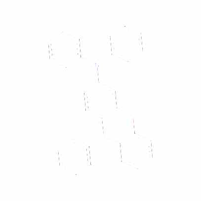 c1ccc2c(c1)Oc1cccc3c1B2c1ccc(N2c4ccccc4Sc4ccccc42)cc1O3